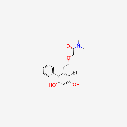 CCc1c(O)cc(O)c(-c2ccccc2)c1CCOCC(=O)N(C)C